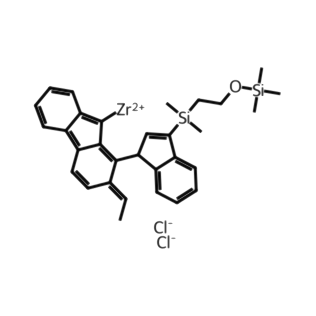 CC=c1ccc2c(c1C1C=C([Si](C)(C)CCO[Si](C)(C)C)c3ccccc31)[C]([Zr+2])=c1ccccc1=2.[Cl-].[Cl-]